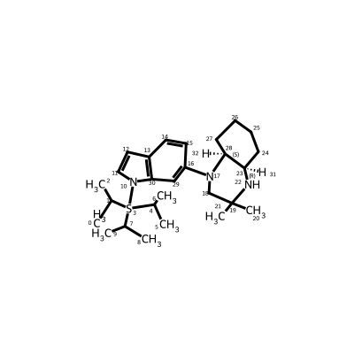 CC(C)S(C(C)C)(C(C)C)n1ccc2ccc(N3CC(C)(C)N[C@@H]4CCCC[C@@H]43)cc21